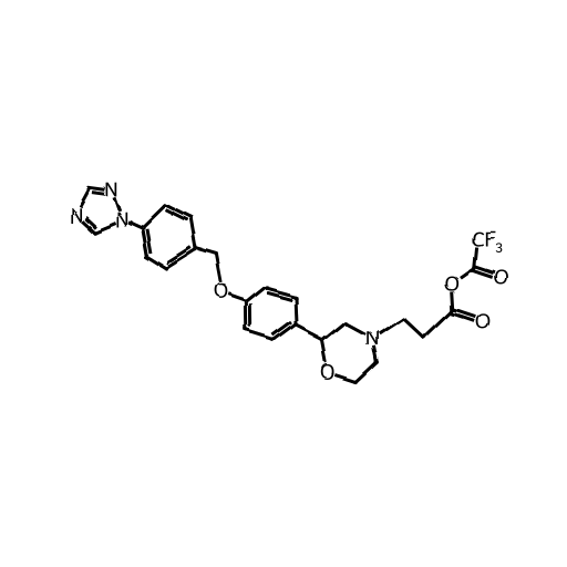 O=C(CCN1CCOC(c2ccc(OCc3ccc(-n4cncn4)cc3)cc2)C1)OC(=O)C(F)(F)F